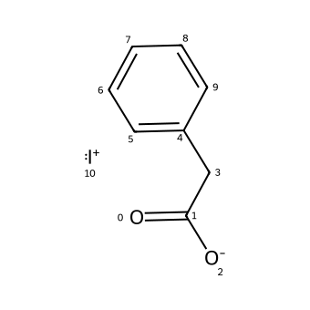 O=C([O-])Cc1ccccc1.[I+]